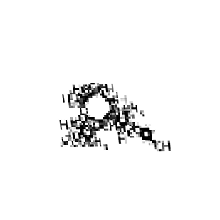 C#Cc1ccc(CN(C)[C@H]2C[C@@H](C)O[C@@H](O[C@@H]3[C@@H](C)[C@H](O[C@H]4C[C@@](C)(OC)[C@@H](O)[C@H](C)O4)[C@@H](C)C(=O)O[C@H](CC)[C@@](C)(O)[C@H](O)[C@@H](C)N(C)C[C@H](C)C[C@@]3(C)O)[C@H]2O)cc1